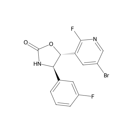 O=C1N[C@H](c2cccc(F)c2)[C@@H](c2cc(Br)cnc2F)O1